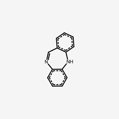 C1=Nc2ccccc2Nc2ccccc21